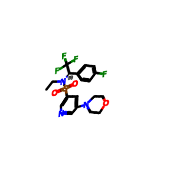 CCN([C@@H](c1ccc(F)cc1)C(F)(F)F)S(=O)(=O)c1cncc(N2CCOCC2)c1